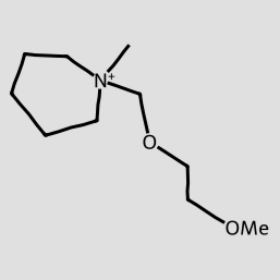 COCCOC[N+]1(C)CCCCC1